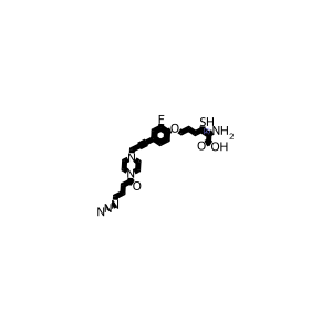 [N-]=[N+]=NCCCC(=O)N1CCN(CC#Cc2ccc(OCCC/C(S)=C(/N)C(=O)O)c(F)c2)CC1